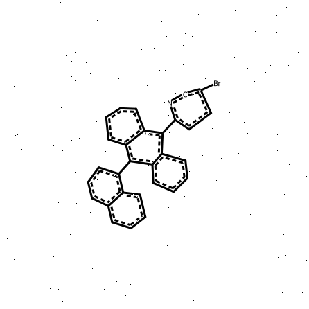 Brc1ccc(-c2c3ccccc3c(-c3cccc4ccccc34)c3ccccc23)nc1